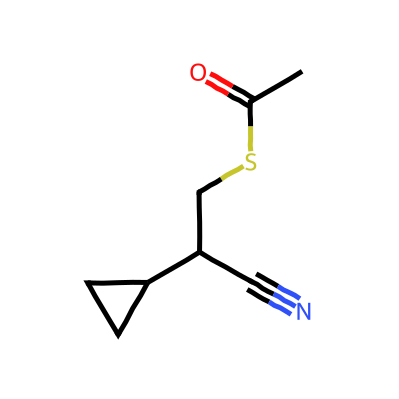 CC(=O)SCC(C#N)C1CC1